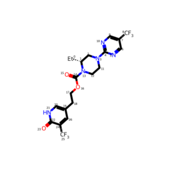 CC[C@@H]1CN(c2ncc(C(F)(F)F)cn2)CCN1C(=O)OCCc1c[nH]c(=O)c(C(F)(F)F)c1